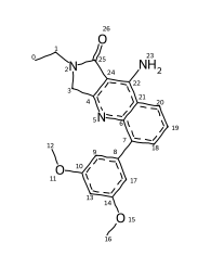 CCN1Cc2nc3c(-c4cc(OC)cc(OC)c4)cccc3c(N)c2C1=O